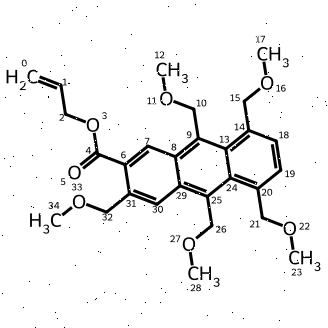 C=CCOC(=O)c1cc2c(COC)c3c(COC)ccc(COC)c3c(COC)c2cc1COC